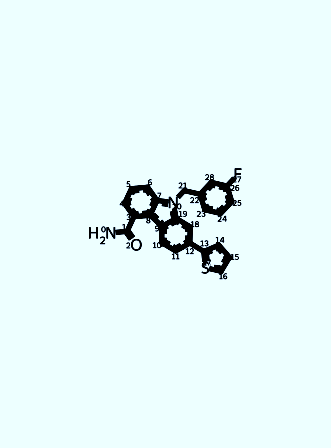 NC(=O)c1cccc2c1c1[c]cc(-c3cccs3)cc1n2Cc1cccc(F)c1